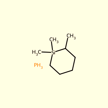 CC1CCCC[Si]1(C)C.P